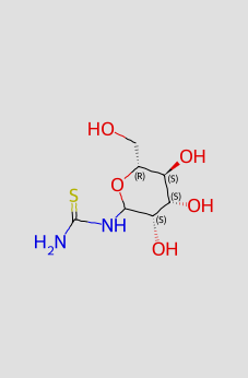 NC(=S)NC1O[C@H](CO)[C@@H](O)[C@H](O)[C@@H]1O